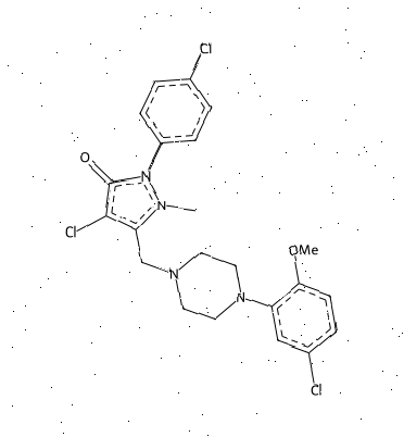 COc1ccc(Cl)cc1N1CCN(Cc2c(Cl)c(=O)n(-c3ccc(Cl)cc3)n2C)CC1